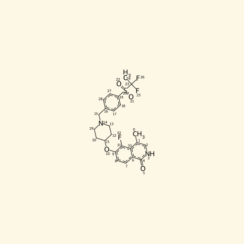 Cc1c[nH]c(=O)c2ccc(OC3CCN(Cc4ccc(S(=O)(=O)C(C)(F)F)cc4)CC3)c(F)c12